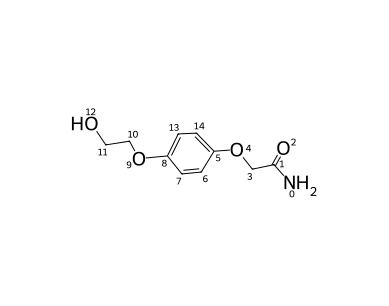 NC(=O)COc1ccc(OCCO)cc1